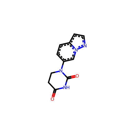 O=C1CCN(c2ccc3ccnn3c2)C(=O)N1